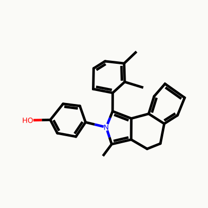 Cc1cccc(-c2c3c(c(C)n2-c2ccc(O)cc2)CCc2ccccc2-3)c1C